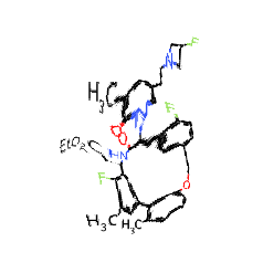 CCOC(=O)C[C@@H]1NC(=O)[C@@H](n2cc(CCN3CC(F)C3)cc(C)c2=O)c2cc(ccc2F)COc2cccc(C)c2-c2cc(C)c(F)c1c2